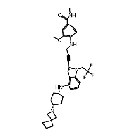 CNC(=O)c1ccc(NCC#Cc2cc3c(N[C@H]4CC[C@@H](N5CC6(CCC6)C5)CC4)cccc3n2CC(F)(F)F)c(OC)c1